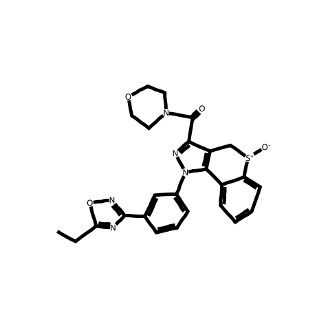 CCc1nc(-c2cccc(-n3nc(C(=O)N4CCOCC4)c4c3-c3ccccc3[S+]([O-])C4)c2)no1